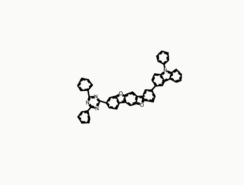 c1ccc(-c2nc(-c3ccccc3)nc(-c3ccc4c(c3)oc3cc5c(cc34)oc3ccc(-c4ccc6c(c4)c4ccccc4n6-c4ccccc4)cc35)n2)cc1